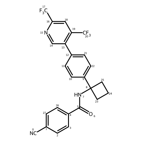 N#Cc1ccc(C(=O)NC2(c3ccc(-c4cnc(C(F)(F)F)cc4C(F)(F)F)cc3)CCC2)cc1